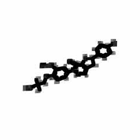 COc1cc(-n2ncc3c(c2=O)SC(c2ccc(Cl)cc2)C3)ccc1OCC(C)(C)O